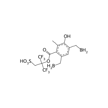 BCc1cc(CB)c(C(=O)OC(CS(=O)(=O)O)(C(F)(F)F)C(F)(F)F)c(C)c1O